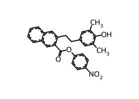 Cc1cc(CCc2cc3ccccc3cc2C(=O)Oc2ccc([N+](=O)[O-])cc2)cc(C)c1O